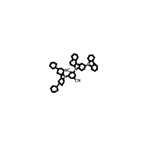 N#Cc1cc(-n2c3ccc(-c4ccccc4)cc3c3cc(-c4ccccc4)ccc32)c(C#N)c(-n2c3ccc(-n4c5ccccc5c5ccccc54)cc3c3c4ccccc4ccc32)c1